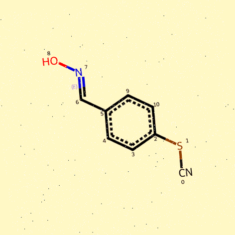 N#CSc1ccc(/C=N/O)cc1